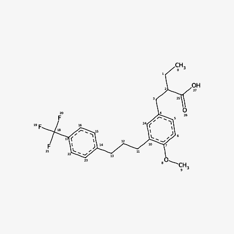 CCC(Cc1ccc(OC)c(CCCc2ccc(C(F)(F)F)cc2)c1)C(=O)O